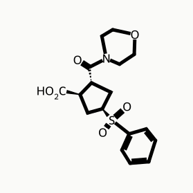 O=C(O)[C@@H]1C[C@H](S(=O)(=O)c2ccccc2)C[C@H]1C(=O)N1CCOCC1